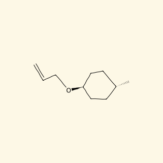 C=CCO[C@H]1CC[C@H](C)CC1